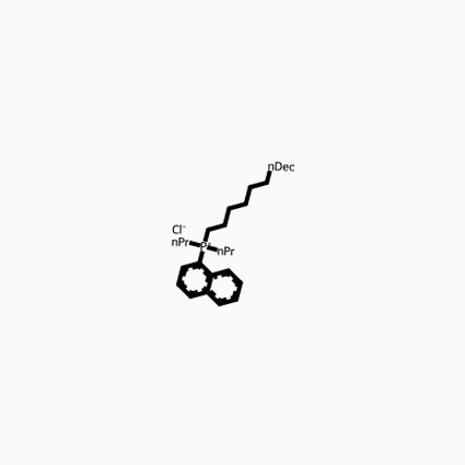 CCCCCCCCCCCCCCCC[P+](CCC)(CCC)c1cccc2ccccc12.[Cl-]